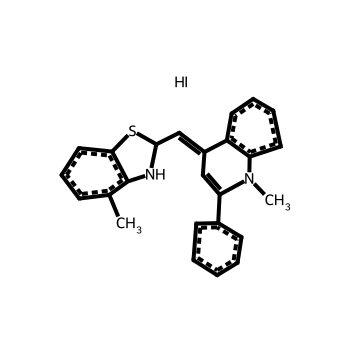 Cc1cccc2c1NC(C=C1C=C(c3ccccc3)N(C)c3ccccc31)S2.I